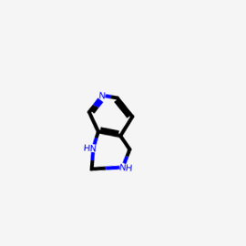 c1cc2c(cn1)NCNC2